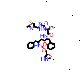 Cc1nc(CN(C)C(=O)NC(C(=O)NC(CCC(Cc2ccccc2)NC(=O)OCC2=CNCS2)Cc2ccccc2)C(C)C)cs1